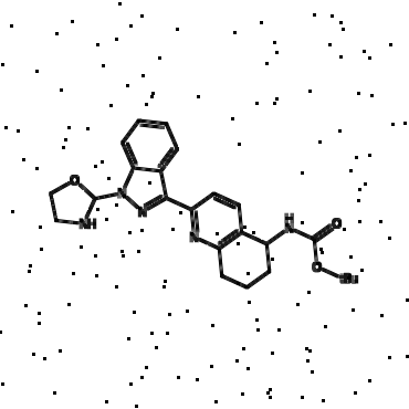 CC(C)(C)OC(=O)NC1CCCc2nc(-c3nn(C4NCCO4)c4ccccc34)ccc21